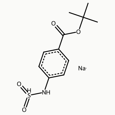 CC(C)(C)OC(=O)c1ccc(N[SH](=O)=O)cc1.[Na]